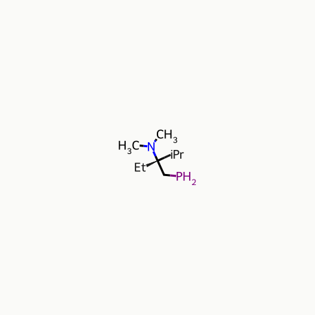 CC[C@](CP)(C(C)C)N(C)C